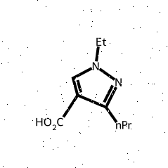 CCCc1nn(CC)cc1C(=O)O